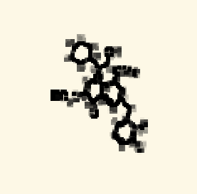 COc1cc(Cc2cccc(Cl)c2F)cc2c(=O)c(C(=O)O)cn([C@H](CO)C3CCCCC3)c12